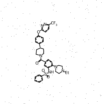 CCN1CCN(c2ccc(C(=O)N3CCC(c4ccc(Oc5ccc(C(F)(F)F)nn5)cc4)CC3)cc2NS(=O)(=O)c2ccccc2)CC1